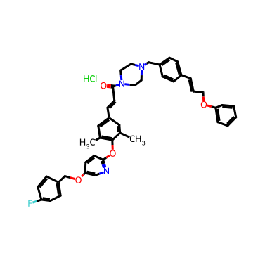 Cc1cc(C=CC(=O)N2CCN(Cc3ccc(C=CCOc4ccccc4)cc3)CC2)cc(C)c1Oc1ccc(OCc2ccc(F)cc2)cn1.Cl